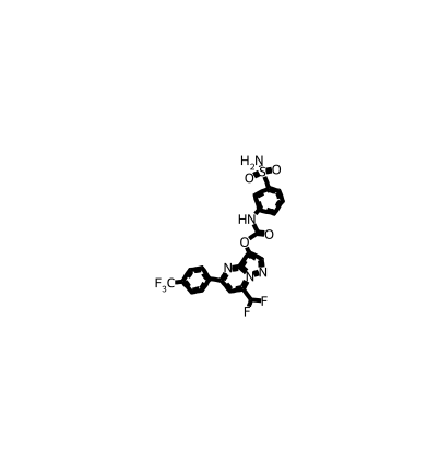 NS(=O)(=O)c1cccc(NC(=O)Oc2cnn3c(C(F)F)cc(-c4ccc(C(F)(F)F)cc4)nc23)c1